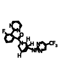 O=C(c1cccc(F)c1-c1ncccn1)N1C[C@@H]2CC[C@H]1[C@H](Nc1ncc(C(F)(F)F)cn1)C2